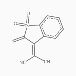 C=C1C(=C(C#N)C#N)c2ccccc2S1(=O)=O